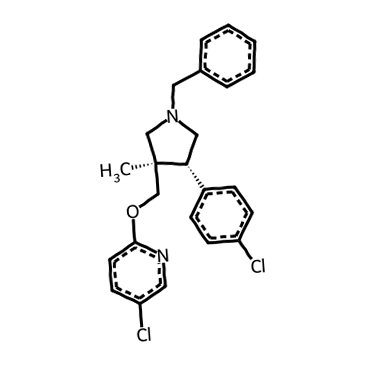 C[C@]1(COc2ccc(Cl)cn2)CN(Cc2ccccc2)C[C@@H]1c1ccc(Cl)cc1